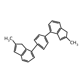 CC1=Cc2c(cccc2-c2ccc(-c3cccc4c3CC(C)=C4)cc2)C1